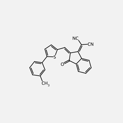 Cc1cccc(-c2ccc(/C=C3\C(=O)c4ccccc4C3=C(C#N)C#N)s2)c1